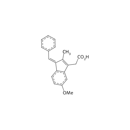 COc1ccc2c(c1)C(CC(=O)O)=C(C)C2=Cc1ccccc1